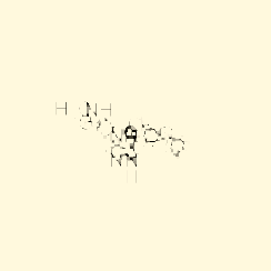 CNC(=O)[C@H]1CC[C@H](Nc2ccnc3[nH]cc(C(=O)c4ccc(Oc5ccccc5)cc4Cl)c23)CC1